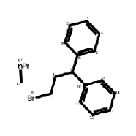 BrCCC(c1ccccc1)c1ccccc1.CCCC